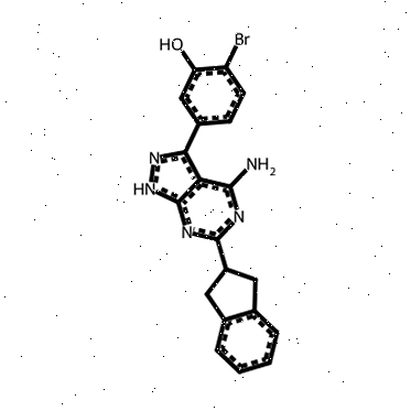 Nc1nc(C2Cc3ccccc3C2)nc2[nH]nc(-c3ccc(Br)c(O)c3)c12